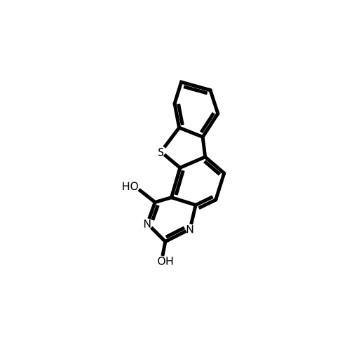 Oc1nc(O)c2c(ccc3c4ccccc4sc32)n1